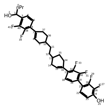 CCCC(O)c1ccc(C2=CCC(CCC3CC=C(c4ccc(-c5ccc(O)c(F)c5F)c(F)c4F)CC3)CC2)c(F)c1F